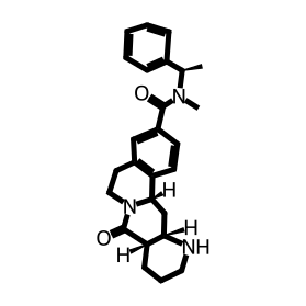 C[C@H](c1ccccc1)N(C)C(=O)c1ccc2c(c1)CCN1C(=O)[C@H]3CCCN[C@H]3C[C@@H]21